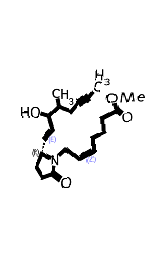 CC#CCC(C)C(O)/C=C/[C@H]1CCC(=O)N1C/C=C\CCCC(=O)OC